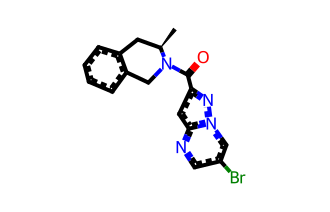 C[C@@H]1Cc2ccccc2CN1C(=O)c1cc2ncc(Br)cn2n1